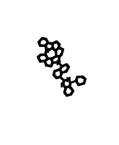 c1ccc(-c2nc(-c3cccc4c(-n5c6ccc7cccc8c7c6c6c7c(ccc9c%10ccccc%10n8c97)ccc65)cccc34)nc3ccccc23)cc1